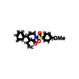 COc1ccc(S(=O)(=O)N2C=CC(c3ccccc3)C(CC(C)=O)C2=O)cc1